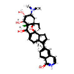 CN(C)[C@H]1C[C@@]23CC[C@@]4(O2)C(=CC[C@]2(C)C(c5ccc6c(O)nccc6c5)=CCC24)C(O)C3(F)[C@@H](O)[C@@H]1O